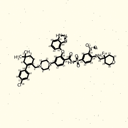 CC1(C)CCC(CN2CCN(c3ccc(C(=O)NS(=O)(=O)c4ccc(NCC5(F)CCOCC5)c([N+](=O)[O-])c4)c(Oc4cccc5[nH]nnc45)c3)CC2)=C(c2ccc(Cl)cc2)C1